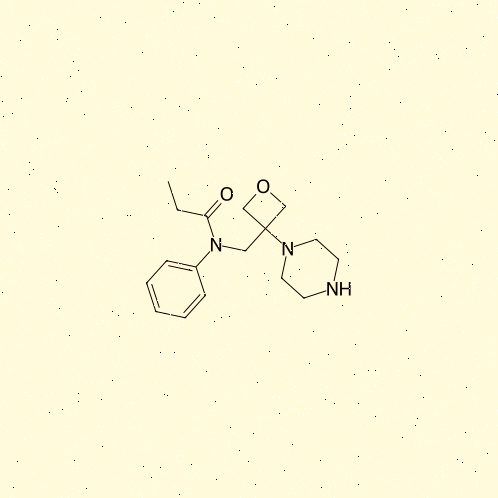 CCC(=O)N(CC1(N2CCNCC2)COC1)c1ccccc1